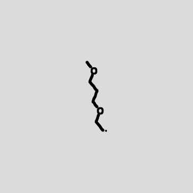 [CH2]COCCCOC